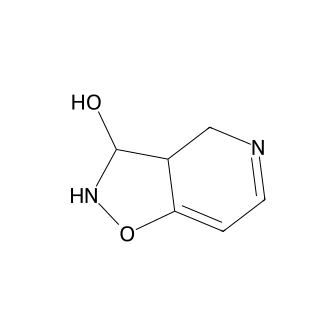 OC1NOC2=CC=NCC21